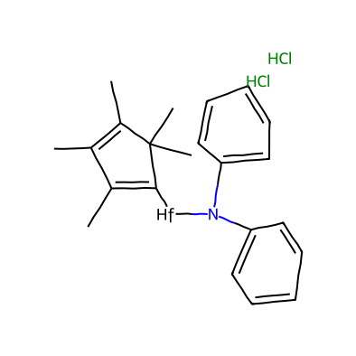 CC1=C(C)C(C)(C)[C]([Hf][N](c2ccccc2)c2ccccc2)=C1C.Cl.Cl